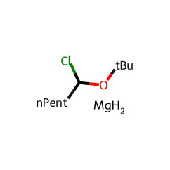 CCCCCC(Cl)OC(C)(C)C.[MgH2]